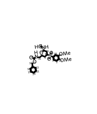 COc1ccc(S(=O)(=O)C(CCCNC(=O)OCc2ccccc2)CC(=O)NO)cc1OC